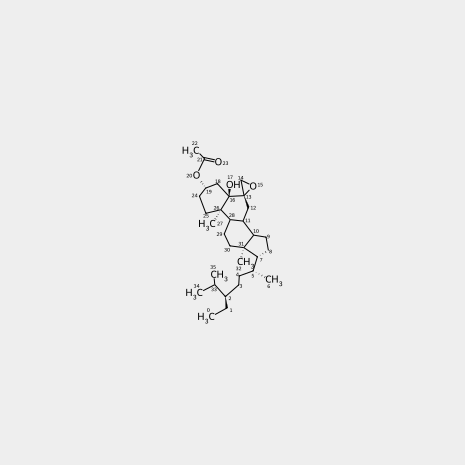 CC[C@H](CC[C@@H](C)[C@H]1CCC2C3C[C@]4(CO4)[C@@]4(O)C[C@@H](OC(C)=O)CC[C@]4(C)C3CC[C@@]21C)C(C)C